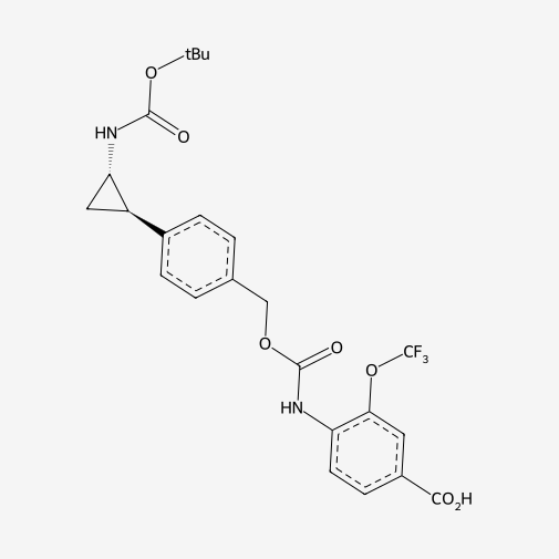 CC(C)(C)OC(=O)N[C@H]1C[C@@H]1c1ccc(COC(=O)Nc2ccc(C(=O)O)cc2OC(F)(F)F)cc1